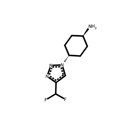 N[C@H]1CC[C@H](n2cc(C(F)F)nn2)CC1